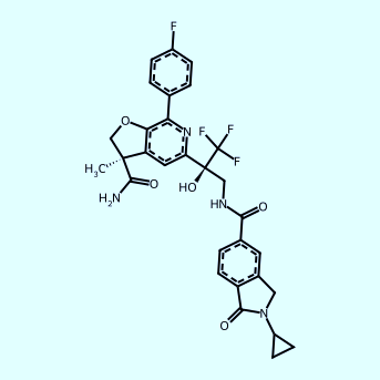 C[C@]1(C(N)=O)COc2c1cc([C@@](O)(CNC(=O)c1ccc3c(c1)CN(C1CC1)C3=O)C(F)(F)F)nc2-c1ccc(F)cc1